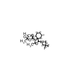 CCN(C(=O)OC(C)(C)C)C1(C(=O)NCC(F)(F)F)CCCCC1